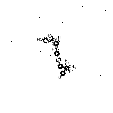 Cc1cc(SNc2ccc(N3CCN(c4cccc(-c5c(C)c(C)n(C(C)C)c5-c5ccc(Cl)cc5)c4)CC3)cc2)ccc1NC(CS)C(C)(C)CN1CCC(O)CC1